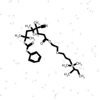 CCC(C)[Si](C)(C)CCCOCCOC(=O)CCC(C)(C#N)C(C)(C)CC(C)(C)SC(=S)Sc1ccccc1